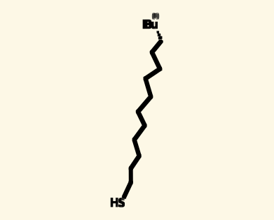 CC[C@@H](C)CCCCCCCCCCCS